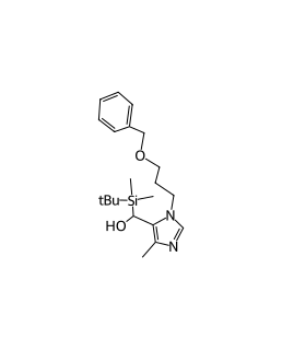 Cc1ncn(CCCOCc2ccccc2)c1C(O)[Si](C)(C)C(C)(C)C